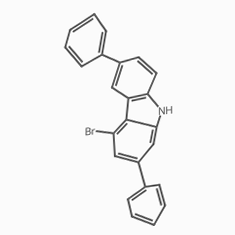 Brc1cc(-c2ccccc2)cc2[nH]c3ccc(-c4ccccc4)cc3c12